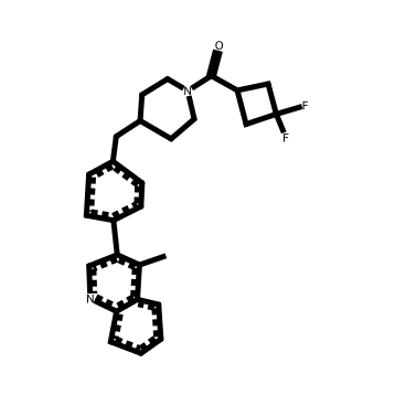 Cc1c(-c2ccc(CC3CCN(C(=O)C4CC(F)(F)C4)CC3)cc2)cnc2ccccc12